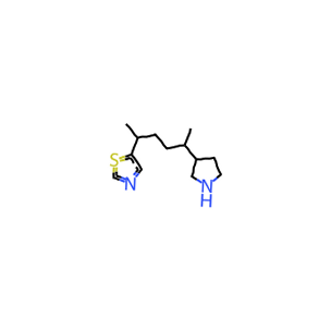 CC(CCC(C)C1CCNC1)c1cncs1